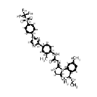 COC(C)c1ccc(C)cc1N1C(=O)CS/C1=N\C(=O)Nc1ccc(-c2ncn(-c3ccc(S(=O)(=O)C(F)(F)F)cc3)n2)cc1C